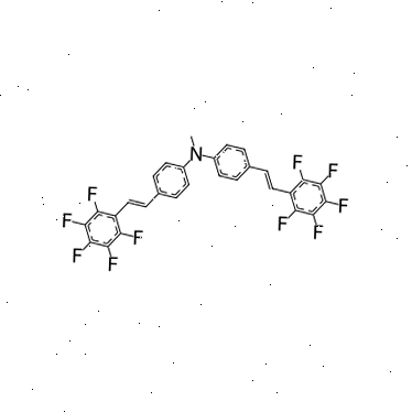 CN(c1ccc(/C=C/c2c(F)c(F)c(F)c(F)c2F)cc1)c1ccc(/C=C/c2c(F)c(F)c(F)c(F)c2F)cc1